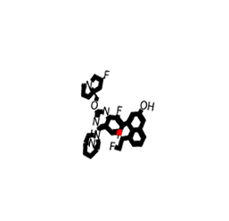 Oc1cc(-c2c(F)cc3c(N4CC5CCC(C4)N5)nc(OC[C@@]45CCCN4C[C@H](F)C5)nc3c2F)c2c(CCF)cccc2c1